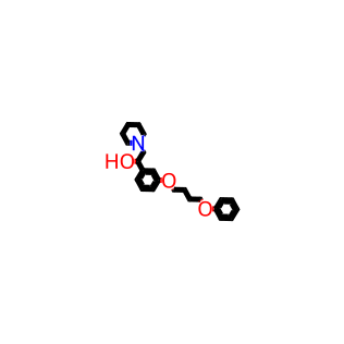 OC(CN1CCCCC1)c1cccc(OCCCCOc2ccccc2)c1